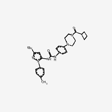 Cc1ccc(-n2nc(C(C)(C)C)cc2NC(=O)Nc2ccc(N3CCN(C(=O)C4CCC4)CC3)cc2)cc1